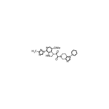 COc1cnc(-n2cnc(C)n2)c2c1C(C(=O)C(=O)N1CCc3c(ncn3-c3ccccc3)C1)CN2